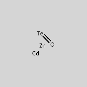 O=[Te].[Cd].[Zn]